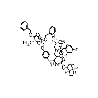 CC(C)CN(C[C@@H](O)[C@H](Cc1ccc(OCP(=O)(OCc2ccccc2)O[C@H](C)C(=O)OCc2ccccc2)cc1)NC(=O)O[C@H]1CO[C@H]2OCC[C@H]21)S(=O)(=O)c1ccc(F)cc1